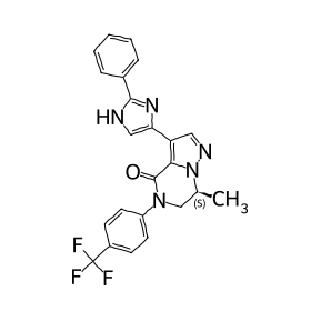 C[C@H]1CN(c2ccc(C(F)(F)F)cc2)C(=O)c2c(-c3c[nH]c(-c4ccccc4)n3)cnn21